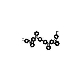 Fc1ccc(-n2c3ccccc3c3cc(N(C4=CC=C(c5ccc(N(c6ccccc6)c6ccc7c(c6)c6ccccc6n7-c6ccc(F)cc6)cc5)CC4)c4ccccc4)ccc32)cc1